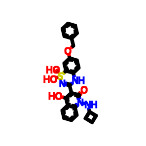 O=c1c(C2=NS(O)(O)c3cc(OCc4ccccc4)ccc3N2)c(O)c2ccccc2n1NC1CCC1